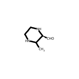 CC1NCCN[C@H]1C=O